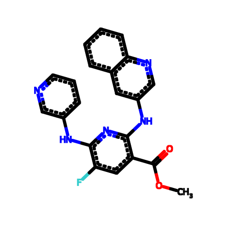 COC(=O)c1cc(F)c(Nc2cccnc2)nc1Nc1cnc2ccccc2c1